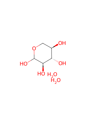 O.O.OC1OC[C@@H](O)[C@H](O)[C@H]1O